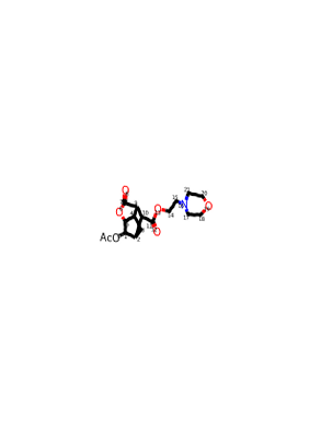 CC(=O)OC1C2CC3C1OC(=O)C3C2C(=O)OCCN1CCOCC1